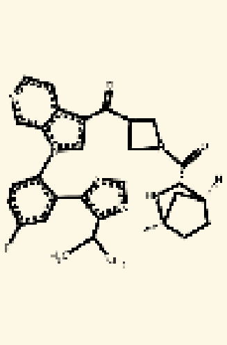 CC(C)c1ncsc1-c1cc(F)ccc1-n1cc(C(=O)C2CN(C(=O)[C@H]3N[C@@H]4CC[C@H]3C4)C2)c2ccncc21